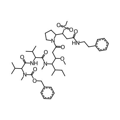 CCC(C)C(C(CC(=O)N1CCCC1C(CC(=O)NCCc1ccccc1)S(C)(=O)=O)OC)N(C)C(=O)C(NC(=O)C(C(C)C)N(C)C(=O)OCc1ccccc1)C(C)C